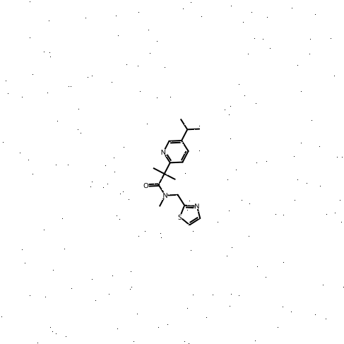 CC(C)c1ccc(C(C)(C)C(=O)N(C)Cc2nccs2)nc1